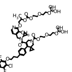 Cc1c(CN(C(=O)C2=C(c3ccc(CCCOc4c(F)ccc(F)c4Cl)cc3)C3(CC3)CN(C(=O)OCCOCCON(O)O)C2)C2CC2)ccnc1OCC(C)OC(=O)OCCOCCON(O)O